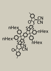 CCCCCCc1ccc(C2(c3ccc(CCCCCC)cc3)c3cc4c(cc3-c3sc5cc(/C=C6\C(=O)c7cc(C)ccc7C6=C(C#N)C#N)sc5c32)C(c2ccc(CCCCCC)cc2)(c2ccc(CCCCCC)cc2)c2c-4sc3cc(/C=C4/C(=O)c5cc(C)ccc5C4=C(C#N)C#N)sc23)cc1